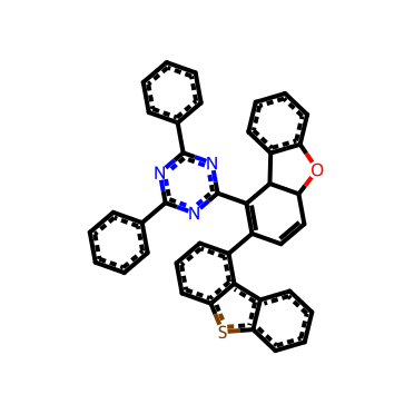 C1=CC2Oc3ccccc3C2C(c2nc(-c3ccccc3)nc(-c3ccccc3)n2)=C1c1cccc2sc3ccccc3c12